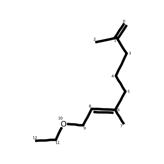 C=C(C)CCCC(C)=CCOCC